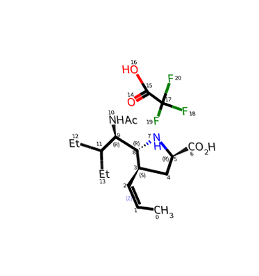 C/C=C\[C@@H]1C[C@H](C(=O)O)N[C@H]1[C@H](NC(C)=O)C(CC)CC.O=C(O)C(F)(F)F